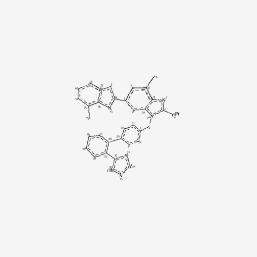 CCCc1nc2c(C)cc(-c3cn4cccc(C)c4n3)cc2n1Cc1ccc(-c2ccccc2-c2nnn[nH]2)cc1